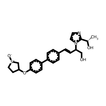 C[C@H](O)c1nccn1C(/C=C/c1ccc(-c2ccc(OC3CC[S+]([O-])C3)cc2)cc1)CO